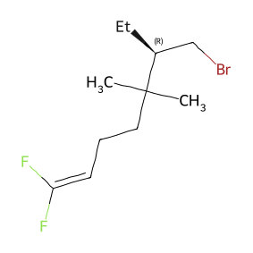 CC[C@@H](CBr)C(C)(C)CCC=C(F)F